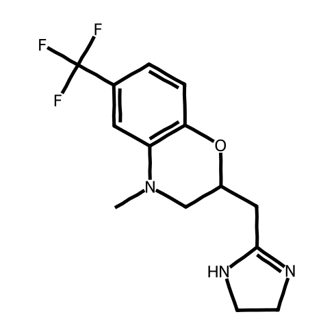 CN1CC(CC2=NCCN2)Oc2ccc(C(F)(F)F)cc21